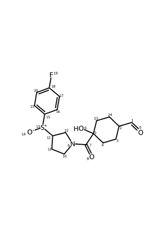 O=CC1CCC(O)(C(=O)N2CCC([S+]([O-])c3ccc(F)cc3)C2)CC1